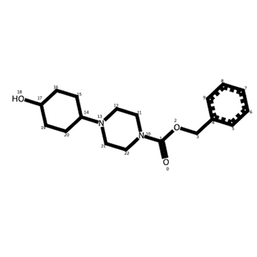 O=C(OCc1ccccc1)N1CCN(C2CCC(O)CC2)CC1